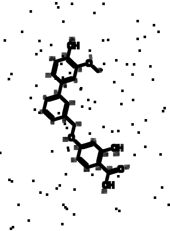 COc1cc(-c2cccc(COc3ccc(C(=O)O)c(O)c3)c2)ccc1O